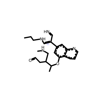 CCCN/C=C(\C=N)c1cc(OC(C)C(CC=O)CNC)c2cccnc2c1